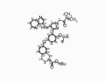 CN(C)C(=O)Cn1cc(Nc2cnn3cccnc23)c(-c2cc(Oc3ccc4c(c3)CN(C(=O)OC(C)(C)C)CC4)ccc2OC(F)F)n1